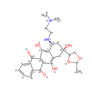 CC1OCC([C@]2(O)Cc3c(O)c4c(c(O)c3[C@@H](NCCN(C)C)C2)C(=O)c2ccccc2C4=O)O1